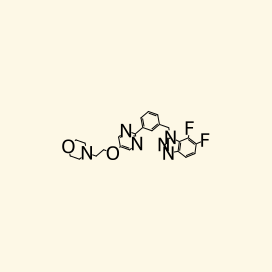 Fc1ccc2nnn(Cc3cccc(-c4ncc(OCCN5CCOCC5)cn4)c3)c2c1F